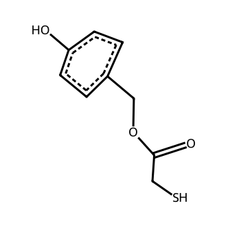 O=C(CS)OCc1ccc(O)cc1